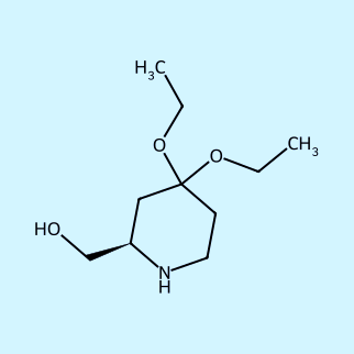 CCOC1(OCC)CCN[C@@H](CO)C1